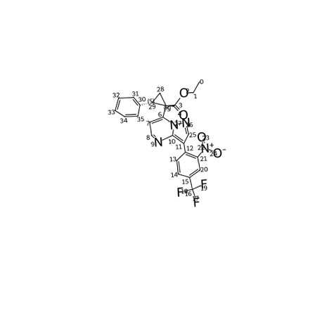 CCOC(=O)[C@]1(c2ccnc3c(-c4ccc(C(F)(F)F)cc4[N+](=O)[O-])cnn23)C[C@H]1c1ccccc1